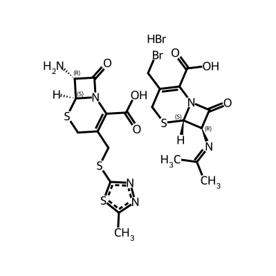 Br.CC(C)=N[C@@H]1C(=O)N2C(C(=O)O)=C(CBr)CS[C@@H]12.Cc1nnc(SCC2=C(C(=O)O)N3C(=O)[C@@H](N)[C@@H]3SC2)s1